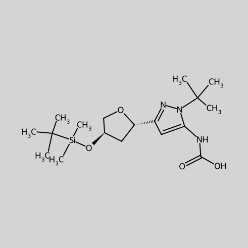 CC(C)(C)n1nc([C@@H]2C[C@@H](O[Si](C)(C)C(C)(C)C)CO2)cc1NC(=O)O